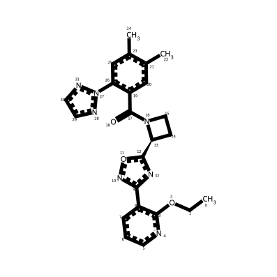 CCOc1ncccc1-c1noc([C@@H]2CCN2C(=O)c2cc(C)c(C)cc2-n2nccn2)n1